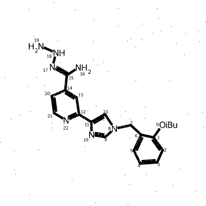 CC(C)COc1ccccc1Cn1cnc(-c2cc(/C(N)=N/NN)ccn2)c1